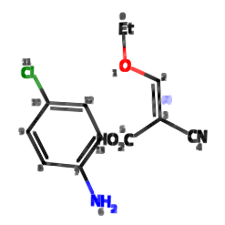 CCO/C=C(/C#N)C(=O)O.Nc1ccc(Cl)cc1